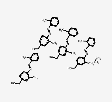 CC.Cc1ccccc1N=Nc1ccc(CO)cc1C.Cc1ccccc1N=Nc1ccc(CO)cc1C.Cc1ccccc1N=Nc1ccc(CO)cc1C.Cc1ccccc1N=Nc1ccc(CO)cc1C